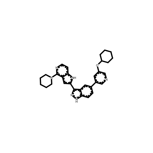 c1cc2[nH]c(-c3n[nH]c4ccc(-c5cncc(OC6CCCCC6)c5)cc34)cc2c(N2CCCCC2)n1